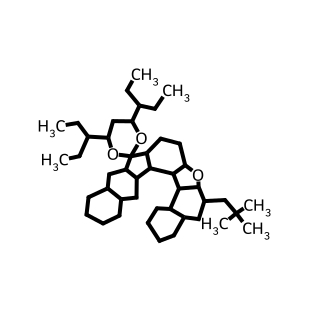 CCC(CC)C1CC(C(CC)CC)OC2(O1)C1CC3CCCCC3CC1C1C3C(CCC12)OC1C(CC(C)(C)C)CC2CCCCC2C13